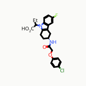 CCC(C(=O)O)n1c2c(c3cc(F)ccc31)C[C@H](NC(=O)COc1ccc(Cl)cc1)CC2